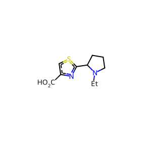 CCN1CCCC1c1nc(C(=O)O)cs1